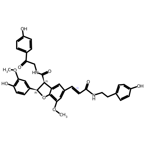 COc1cc([C@@H]2Oc3c(OC)cc(/C=C/C(=O)NCCc4ccc(O)cc4)cc3[C@@H]2C(=O)NCC(=O)c2ccc(O)cc2)ccc1O